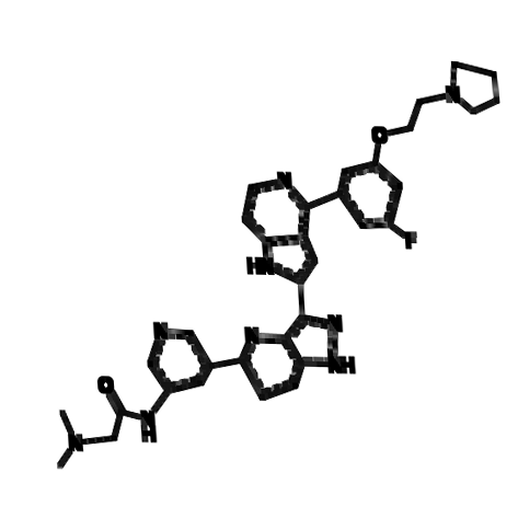 CN(C)CC(=O)Nc1cncc(-c2ccc3[nH]nc(-c4cc5c(-c6cc(F)cc(OCCN7CCCC7)c6)nccc5[nH]4)c3n2)c1